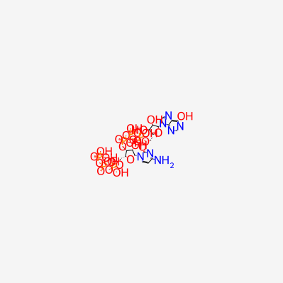 Nc1ccn([C@@H]2O[C@H](COP(=O)(O)OP(=O)(O)OP(=O)(O)O)[C@@H](OP(=O)(O)OP(=O)(O)OP(=O)(O)OC[C@H]3O[C@@H](n4cnc5c(O)ncnc54)[C@H](O)[C@@H]3O)[C@H]2O)c(=O)n1